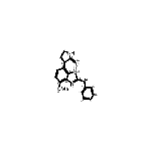 COc1ccc(C2CCNC2=O)c2[nH]c(Cc3ccccc3)nc12